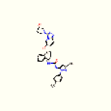 Cc1ccc(-n2nc(C(C)(C)C)cc2NC(=O)N[C@H]2CC[C@@H](Oc3ccc4nnc(N5CCC(O)C5)n4c3)c3ccccc32)cc1